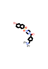 CC(C)N(Cc1ccc(C(=O)N2CCN(S(=O)(=O)c3ccc4cc(Br)ccc4c3)CC2)cc1)C(C)C